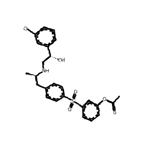 CC(=O)Oc1cccc(S(=O)(=O)c2ccc(C[C@@H](C)NC[C@@H](O)c3cccc(Cl)c3)cc2)c1